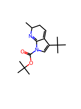 CC1CC=c2c(C(C)(C)C)cn(C(=O)OC(C)(C)C)c2=N1